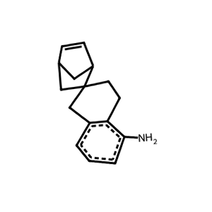 Nc1cccc2c1CCC1(C2)CC2C=CC1C2